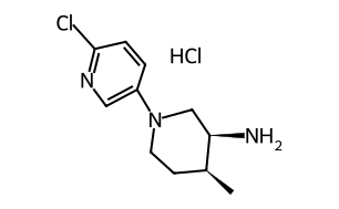 C[C@H]1CCN(c2ccc(Cl)nc2)C[C@H]1N.Cl